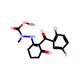 CN(NC1=C(C(=O)c2cc(F)ccc2Cl)C(=O)CCC1)C(=O)OC(C)(C)C